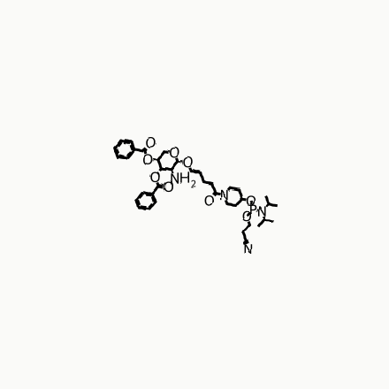 CC(C)N(C(C)C)P(OCCC#N)OC1CCN(C(=O)CCCCO[C@@H]2OC[C@H](OC(=O)c3ccccc3)C(OC(=O)c3ccccc3)[C@@H]2N)CC1